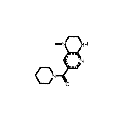 CN1CCNc2ncc(C(=O)N3CCCCC3)cc21